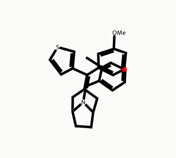 COc1cccc(C(=C2CC3CCC(C2)N3Cc2ccccc2C)c2ccsc2)c1